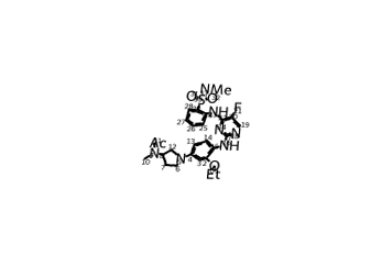 CCOc1cc(N2CCC(N(C)C(C)=O)C2)ccc1Nc1ncc(F)c(Nc2ccccc2S(=O)(=O)NC)n1